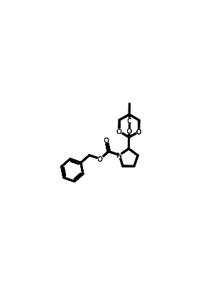 CC12COC(C3CCCN3C(=O)OCc3ccccc3)(OC1)OC2